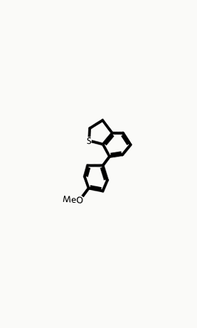 COc1ccc(-c2cccc3c2SCC3)cc1